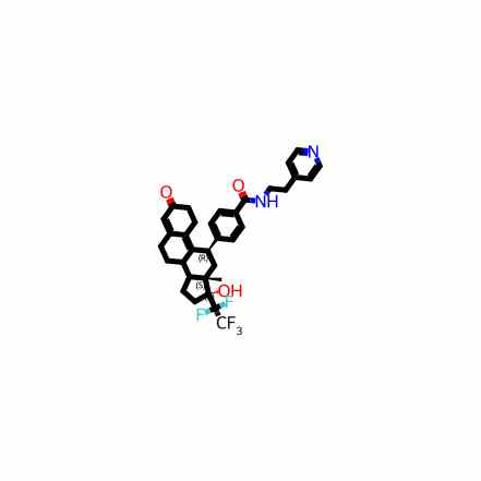 C[C@]12C[C@H](c3ccc(C(=O)NCCc4ccncc4)cc3)C3=C4CCC(=O)C=C4CCC3C1CC[C@]2(O)C(F)(F)C(F)(F)F